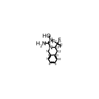 NC(=NO)N1Cc2ccccc2CC1C(F)(F)F